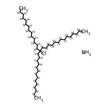 CCCCCCCCCCCCCCC(Cl)(CCCCCCCCCCCCCC)CCCCCCCCCCCCCC.N